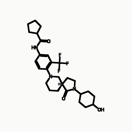 O=C(Nc1ccc(N2CCC[C@]3(CCN(C4CCC(O)CC4)C3=O)C2)c(C(F)(F)F)c1)C1CCCC1